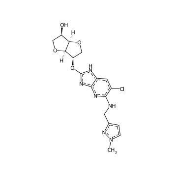 Cn1ccc(CNc2nc3nc(O[C@@H]4CO[C@H]5[C@@H]4OC[C@H]5O)[nH]c3cc2Cl)n1